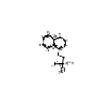 CCC(F)(F)CCc1cccc2ccccc12